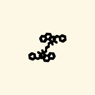 CC1=[N+](Cc2ccccc2)c2ccc3ccccc3c2C1(C)CC=CCC1(C)C(C)=[N+](Cc2ccccc2)c2ccc3ccccc3c21